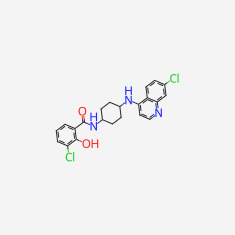 O=C(NC1CCC(Nc2ccnc3cc(Cl)ccc23)CC1)c1cccc(Cl)c1O